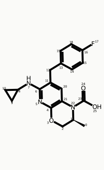 C[C@H]1COc2nc(NC3CC3)c(Cc3ccc(F)cc3)cc2N1C(=O)O